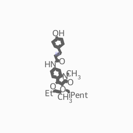 CC=C(CC)Oc1c(OCC(C)CCC)c(=O)n(C)c2cc(NC(=O)/C=C/c3ccc(O)cc3)ccc12